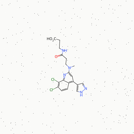 CN(CCC(=O)NCCC(=O)O)c1cc(-c2cn[nH]c2)c2ccc(Cl)c(Cl)c2n1